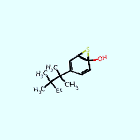 CCC(C)(C)C(C)(C)C1=CC2SC2(O)C=C1